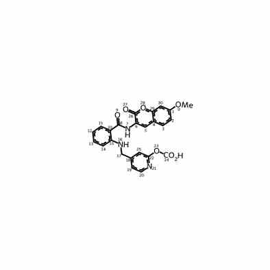 COc1ccc2cc(NC(=O)c3ccccc3NCc3ccnc(OC(=O)O)c3)c(=O)oc2c1